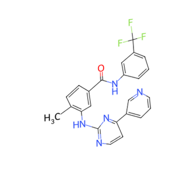 Cc1ccc(C(=O)Nc2cccc(C(F)(F)F)c2)cc1Nc1nccc(-c2cccnc2)n1